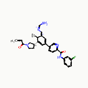 C=CC(=O)N1CC[C@@H](C2=CC(c3ccc(C(=O)Nc4cccc(F)c4)nc3)=C/C(=C/N=C\N)C2CC)C1